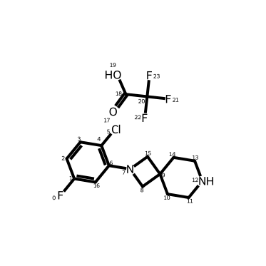 Fc1ccc(Cl)c(N2CC3(CCNCC3)C2)c1.O=C(O)C(F)(F)F